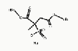 CCCCOC(=O)CC(C)(C(=O)OCCCC)S(=O)(=O)[O-].[Na+]